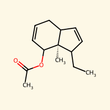 CCC1C=CC2CC=CC(OC(C)=O)[C@]12C